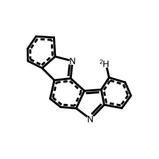 [2H]c1cccc2c1=c1c(ccc3c1=Nc1ccccc1-3)N=2